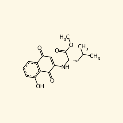 COC(=O)[C@H](CC(C)C)NC1=CC(=O)c2cccc(O)c2C1=O